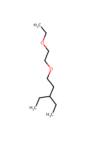 [CH2]COCCOCCC(CC)CC